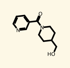 O=C(c1cccnc1)N1CCC(CO)CC1